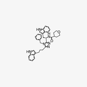 O=C(N[C@H](Cc1c[nH]c2ccccc12)c1nnc(CCCc2c[nH]c3ccccc23)n1Cc1ccccc1)C1CCOCC1